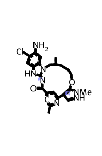 CN/C1=C(\C=N)c2cc(cc(C)n2)C(=O)/N=C2\Nc3cc(Cl)c(N)cc3N2CC(C)CCCO1